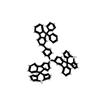 c1ccc(C2(c3ccccc3)c3ccccc3-c3ccc(-c4ccc(N(c5ccc6c(c5)-c5ccccc5C65c6ccccc6Oc6ccccc65)c5ccc6c(c5)-c5ccccc5C65c6ccccc6Oc6ccccc65)cc4)cc32)cc1